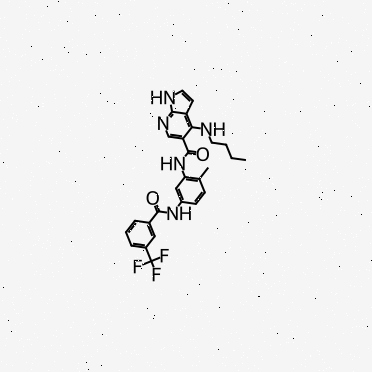 CCCCNc1c(C(=O)Nc2cc(NC(=O)c3cccc(C(F)(F)F)c3)ccc2C)cnc2[nH]ccc12